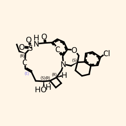 CC[C@@H]1C/C=C/C[C@H](O)[C@@H]2CC[C@H]2CN2C[C@@]3(CCCc4cc(Cl)ccc43)COc3ccc(cc32)C(=O)NS1(=O)=O